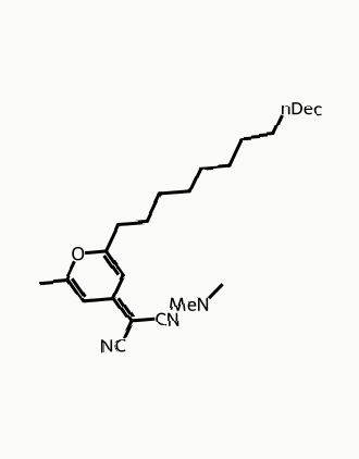 CCCCCCCCCCCCCCCCCCC1=CC(=C(C#N)C#N)C=C(C)O1.CNC